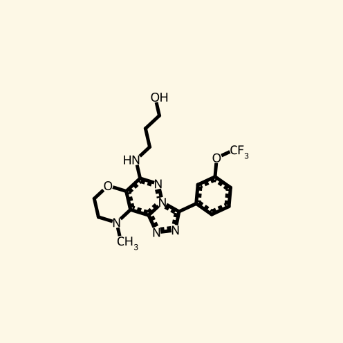 CN1CCOc2c(NCCCO)nn3c(-c4cccc(OC(F)(F)F)c4)nnc3c21